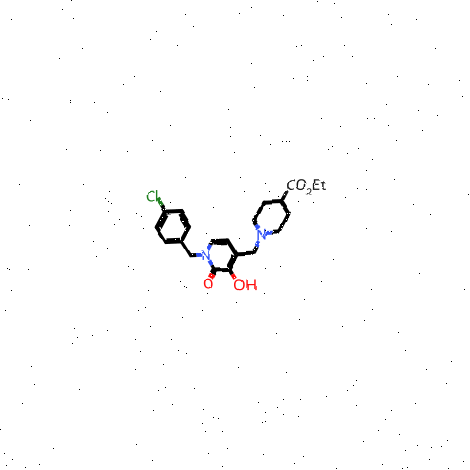 CCOC(=O)C1CCN(Cc2ccn(Cc3ccc(Cl)cc3)c(=O)c2O)CC1